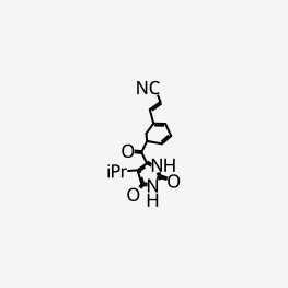 CC(C)c1c(C(=O)C2C=CC=C(/C=C/C#N)C2)[nH]c(=O)[nH]c1=O